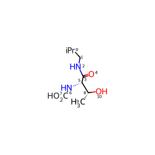 CC(C)CNC(=O)[C@@H](NC(=O)O)[C@@H](C)O